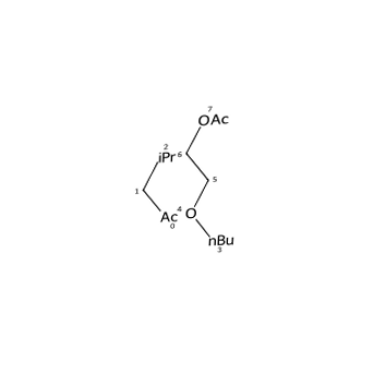 CC(=O)CC(C)C.CCCCOCCOC(C)=O